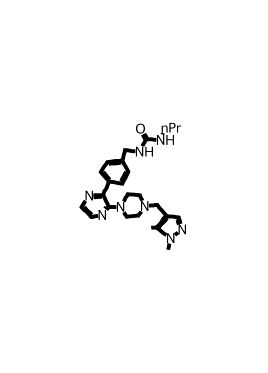 CCCNC(=O)NCc1ccc(-c2nccnc2N2CCN(Cc3cnn(C)c3C)CC2)cc1